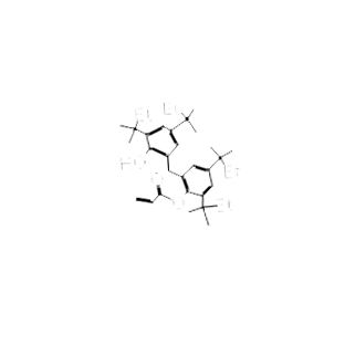 C=CC(=O)Oc1c(Cc2cc(C(C)(C)CC)cc(C(C)(C)CC)c2O)cc(C(C)(C)CC)cc1C(C)(C)CC